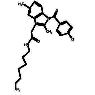 Cc1ccc2c(c1)c(CC(=O)NCCCCCCN)c(C)n2C(=O)c1ccc(Cl)cc1